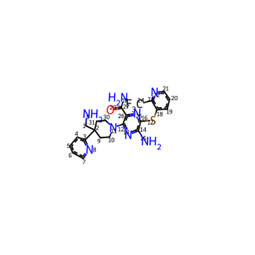 NCC1(c2ccccn2)CCN(c2nc(N)c(Sc3cccnc3C(F)(F)F)nc2C(N)=O)CC1